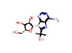 CC(C)(O)c1nc2c(N)ncnc2n1[C@@H]1O[C@H](CO)[C@@H](O)[C@H]1O